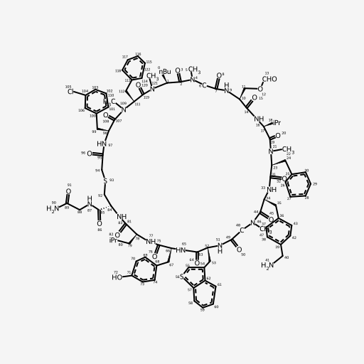 CCCC[C@H]1C(=O)N(C)CC(=O)N[C@@H](COC=O)C(=O)N[C@@H](C(C)C)C(=O)N(C)[C@@H](Cc2ccccc2)C(=O)N[C@@H](Cc2ccc(CN)cc2)C(=O)N(C)CC(=O)N[C@@H](Cc2csc3ccccc23)C(=O)N[C@@H](Cc2ccc(O)cc2)C(=O)N[C@@H](CC(C)C)C(=O)N[C@H](C(=O)NCC(N)=O)CSCC(=O)N[C@@H](Cc2cccc(Cl)c2)C(=O)N(C)[C@@H](Cc2ccccc2)C(=O)N1C